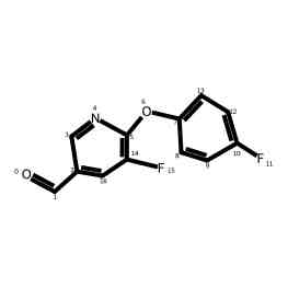 O=Cc1cnc(Oc2ccc(F)cc2)c(F)c1